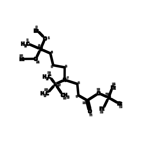 CCO[Si](C)(CCCN(CCC(=O)O[Si](CC)(CC)CC)[Si](C)(C)C)OCC